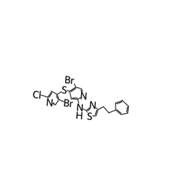 Clc1cc(Sc2cc(Nc3nc(CCc4ccccc4)cs3)ncc2Br)c(Br)cn1